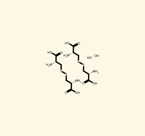 Cl.Cl.N[C@@H](CSSC[C@H](N)C(=O)O)C(=O)O.N[C@@H](CSSC[C@H](N)C(=O)O)C(=O)O